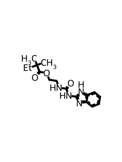 CCC(C)(C)C(=O)OCCNC(=O)Nc1nc2ccccc2[nH]1